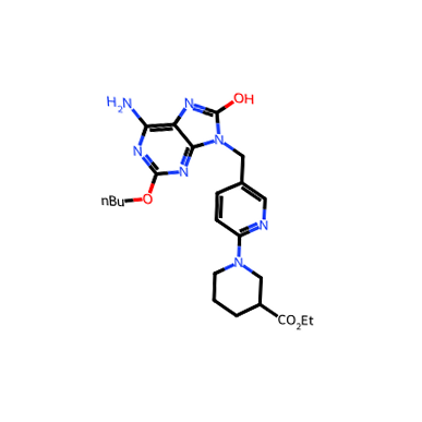 CCCCOc1nc(N)c2nc(O)n(Cc3ccc(N4CCCC(C(=O)OCC)C4)nc3)c2n1